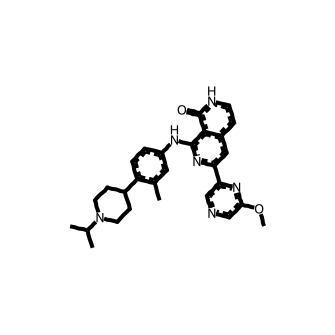 COc1cncc(-c2cc3cc[nH]c(=O)c3c(Nc3ccc(C4CCN(C(C)C)CC4)c(C)c3)n2)n1